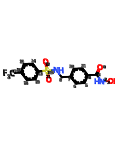 O=C(NO)c1ccc(CNS(=O)(=O)c2ccc(C(F)(F)F)cc2)cc1